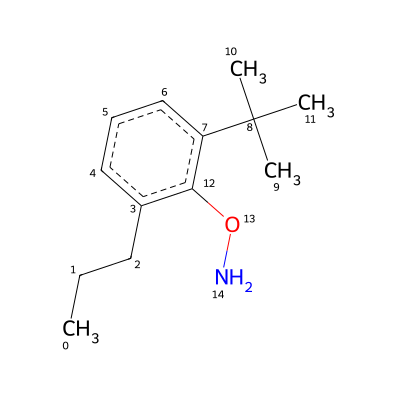 CCCc1cccc(C(C)(C)C)c1ON